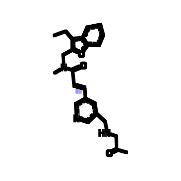 CCc1c(CN(C)C(=O)/C=C/c2cncc(CNCC(C)=O)c2)oc2ccccc12